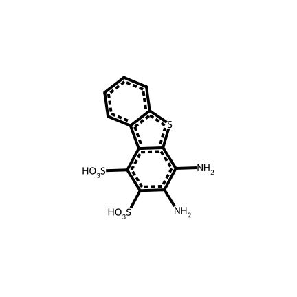 Nc1c(S(=O)(=O)O)c(S(=O)(=O)O)c2c(sc3ccccc32)c1N